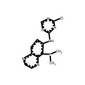 CP(C)c1c(Nc2ncnc(Cl)n2)ccc2nccnc12